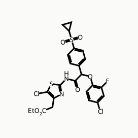 CCOC(=O)Cc1nc(NC(=O)C(Oc2ccc(Cl)cc2F)c2ccc(S(=O)(=O)C3CC3)cc2)sc1Cl